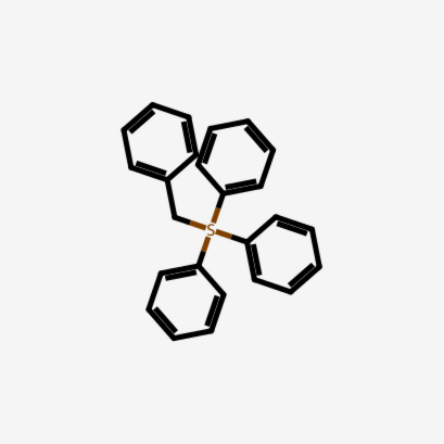 c1ccc(CS(c2ccccc2)(c2ccccc2)c2ccccc2)cc1